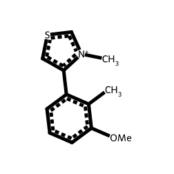 COc1cccc(-c2csc[n+]2C)c1C